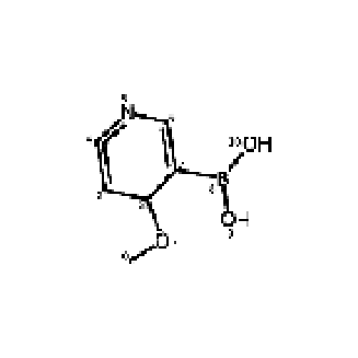 COC1C=C=NC=C1B(O)O